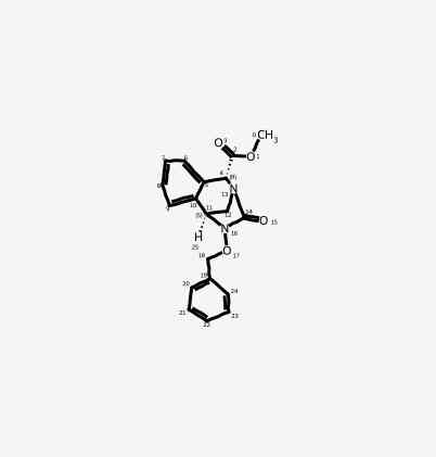 COC(=O)[C@H]1c2ccccc2[C@H]2CN1C(=O)N2OCc1ccccc1